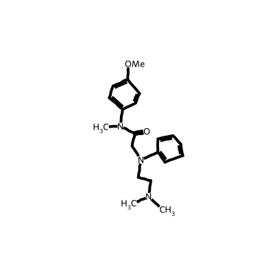 COc1ccc(N(C)C(=O)CN(CCN(C)C)c2ccccc2)cc1